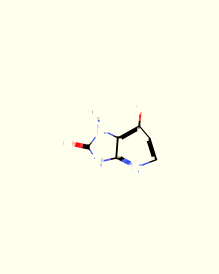 Cn1c(=O)[nH]c2nccc([O])c21